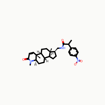 CC(C(=O)NC[C@H]1CC[C@H]2[C@@H]3CC[C@H]4N(C)C(=O)C=C[C@]4(C)[C@H]3CC[C@]12C)c1ccc([N+](=O)[O-])cc1